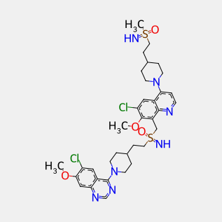 COc1cc2ncnc(N3CCC(CCS(=N)(=O)Cc4c(OC)c(Cl)cc5c(N6CCC(CCS(C)(=N)=O)CC6)ccnc45)CC3)c2cc1Cl